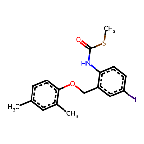 CSC(=O)Nc1ccc(I)cc1COc1ccc(C)cc1C